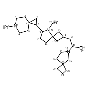 CC(C)N1CCC2(CC1)CC2C1CCC2(CC(CC(C)N3CCC4(CCC4)C3)C2)N1C(C)C